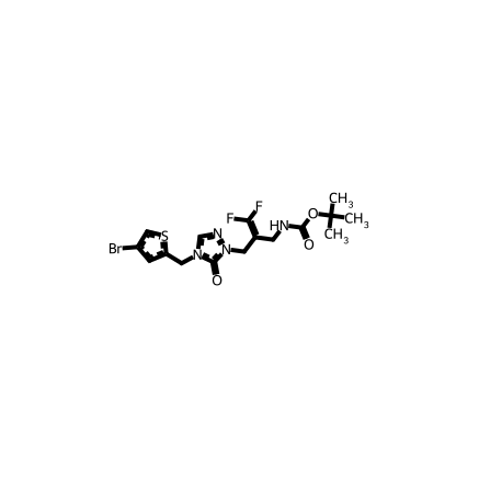 CC(C)(C)OC(=O)NCC(Cn1ncn(Cc2cc(Br)cs2)c1=O)=C(F)F